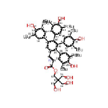 CC(C)(C)c1cc(-c2cc(/C=C/C(=O)OCC(CO)(CO)CO)c(-c3cc(C(C)(C)C)c(O)c(C(C)(C)C)c3)c(-c3cc(C(C)(C)C)c(O)c(C(C)(C)C)c3)c2-c2cc(C(C)(C)C)c(O)c(C(C)(C)C)c2)cc(C(C)(C)C)c1O